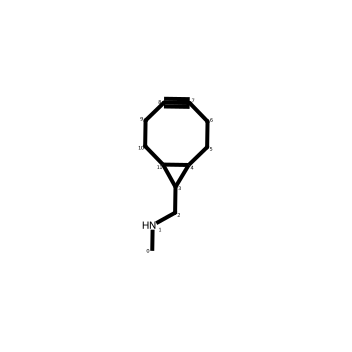 CNCC1C2CCC#CCCC21